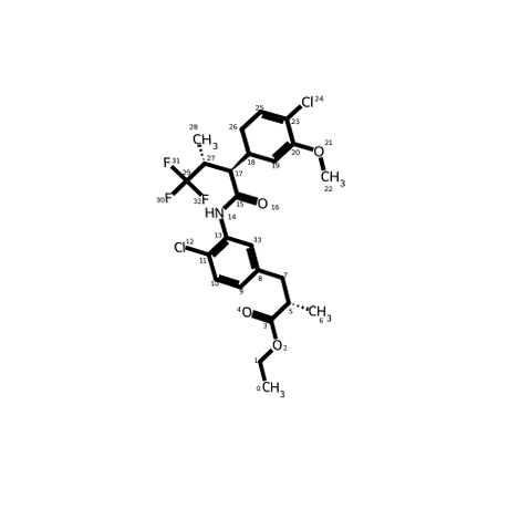 CCOC(=O)[C@@H](C)Cc1ccc(Cl)c(NC(=O)[C@H](C2C=C(OC)C(Cl)=CC2)[C@@H](C)C(F)(F)F)c1